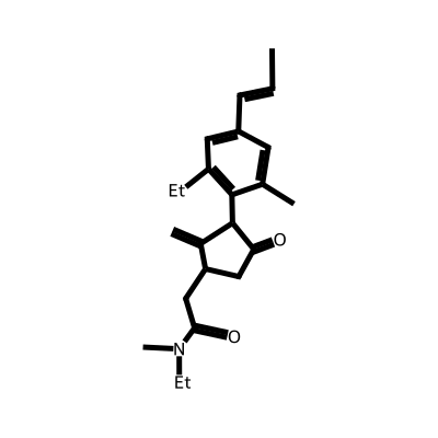 C=C1C(CC(=O)N(C)CC)CC(=O)C1c1c(C)cc(/C=C/C)cc1CC